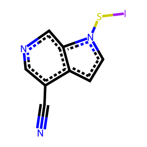 N#Cc1cncc2c1ccn2SI